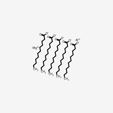 CCCCCCCCCCCC(=O)[O-].CCCCCCCCCCCC(=O)[O-].CCCCCCCCCCCC(=O)[O-].CCCCCCCCCCCC(=O)[O-].CCCCCCCCCCCC(=O)[O-].[Al+3].[Mg+2]